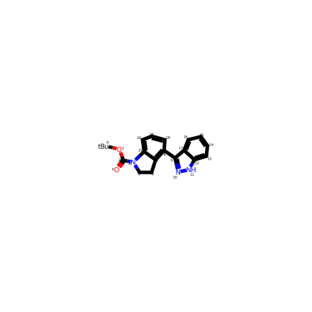 CC(C)(C)OC(=O)N1CCc2c(-c3n[nH]c4ccccc34)cccc21